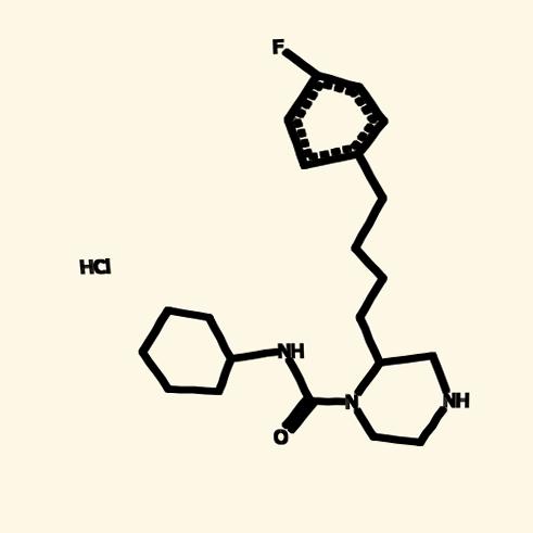 Cl.O=C(NC1CCCCC1)N1CCNCC1CCCCc1ccc(F)cc1